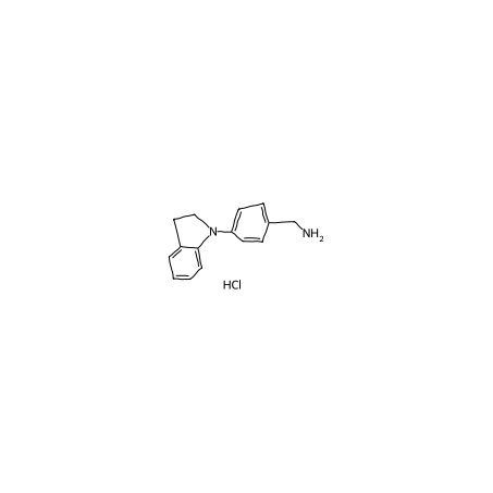 Cl.NCc1ccc(N2CCc3ccccc32)cc1